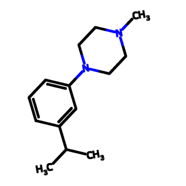 CC(C)c1cccc(N2CCN(C)CC2)c1